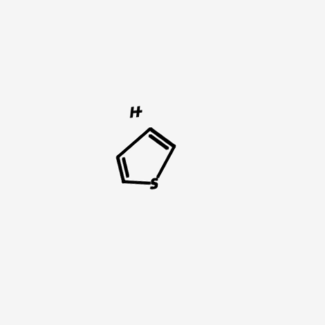 [H].c1ccsc1